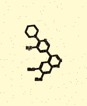 COc1cc2nncc(-c3cnc(N4CCCCC4)c(C)c3)c2cc1OC